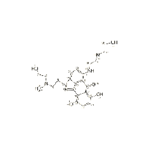 CN(CCO)CCn1nc2c3c(c(NCCNCCO)ccc31)C(=O)c1c(O)ccc(O)c1-2